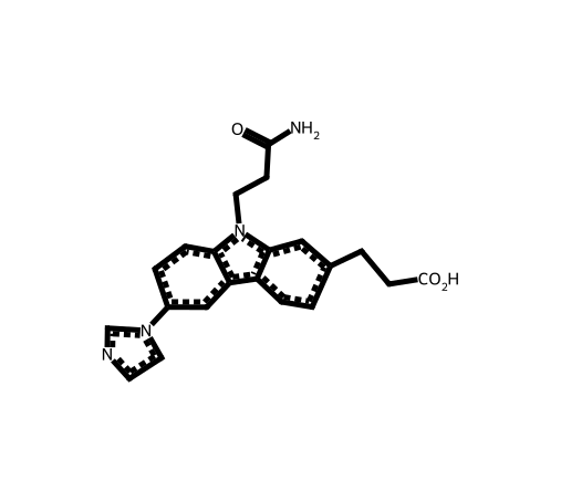 NC(=O)CCn1c2ccc(-n3ccnc3)cc2c2ccc(CCC(=O)O)cc21